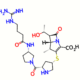 C[C@@H](O)[C@H]1C(=O)N2C(C(=O)O)=C(S[C@@H]3CN[C@H](C(=O)N4CC[C@H](NC(=O)CCCNC(=N)N)C4)C3)[C@H](C)[C@H]12